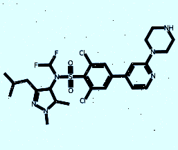 CC(C)CC1=NN(C)C(C)C1N(C(F)F)S(=O)(=O)c1c(Cl)cc(-c2ccnc(N3CCNCC3)c2)cc1Cl